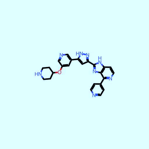 c1cc(-c2nccc3[nH]c(-c4cc(-c5cncc(OC6CCNCC6)c5)[nH]n4)nc23)ccn1